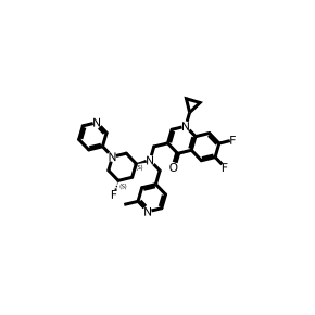 Cc1cc(CN(Cc2cn(C3CC3)c3cc(F)c(F)cc3c2=O)[C@H]2C[C@H](F)CN(c3cccnc3)C2)ccn1